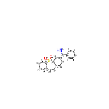 N=C(c1ccccc1)c1ccc2c(c1)S(=O)(=O)c1ccccc1C=C2